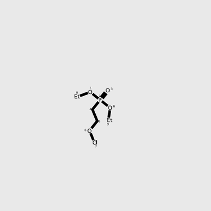 CCOP(=O)(CCOCl)OCC